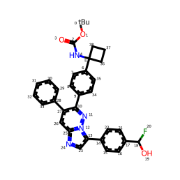 CC(C)(C)OC(=O)NC1(c2ccc(-c3nn4c(-c5ccc(C(O)F)cc5)cnc4cc3-c3ccccc3)cc2)CCC1